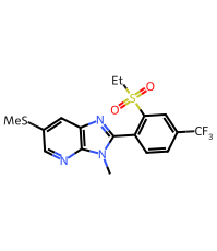 CCS(=O)(=O)c1cc(C(F)(F)F)ccc1-c1nc2cc(SC)cnc2n1C